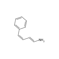 N/C=C/C=C\c1ccccc1